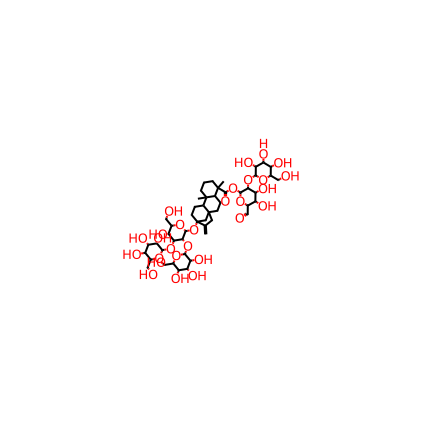 C=C1CC23CCC4C(C)(C(=O)OC5OC(C=O)C(O)C(O)C5OC5OC(CO)C(O)C(O)C5O)CCCC4(C)C2CCC1(OC1OC(CO)C(O)C(OC2OC(CO)C(O)C(O)C2O)C1OC1OC(CO)C(O)C(O)C1O)C3